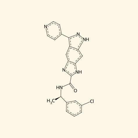 C[C@@H](NC(=O)c1nc2cc3c(-c4ccncc4)n[nH]c3cc2[nH]1)c1cccc(Cl)c1